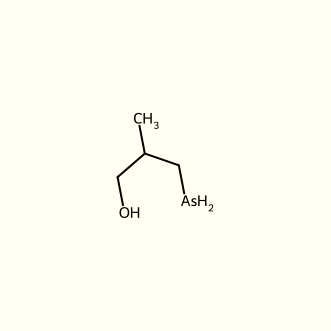 CC(CO)C[AsH2]